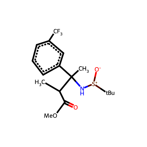 COC(=O)C(C)C(C)(N[S+]([O-])C(C)(C)C)c1cccc(C(F)(F)F)c1